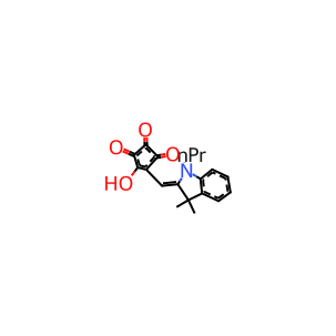 CCCN1/C(=C\c2c(O)c(=O)c(=O)c2=O)C(C)(C)c2ccccc21